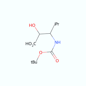 CC(C)C(NC(=O)OC(C)(C)C)C(O)C(=O)O